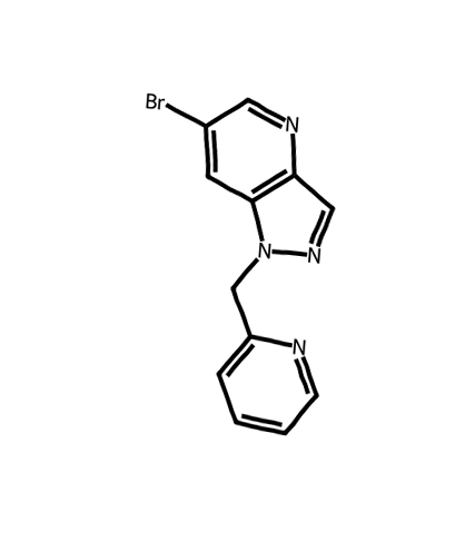 Brc1cnc2cnn(Cc3ccccn3)c2c1